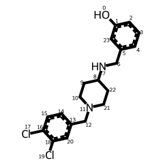 Oc1cccc(CNC2CCN(Cc3ccc(Cl)c(Cl)c3)CC2)c1